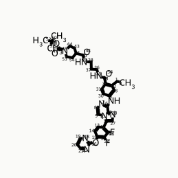 CCc1cc(Nc2nccn3c(-c4ccc(Oc5ncccn5)c(F)c4F)cnc23)ccc1C(=O)NCCCNC(=O)C1CCN(C(=O)OC(C)(C)C)CC1